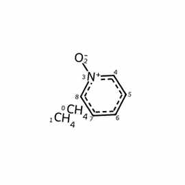 C.C.[O-][n+]1ccccc1